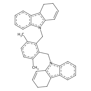 Cc1ccc(C)c(Cn2c3c(c4ccccc42)CCC=C3)c1Cn1c2c(c3ccccc31)CCC=C2